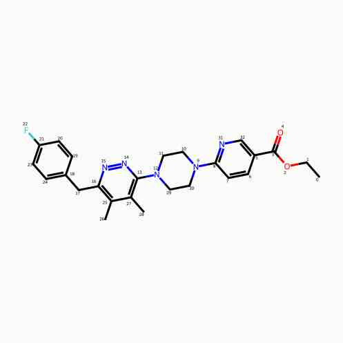 CCOC(=O)c1ccc(N2CCN(c3nnc(Cc4ccc(F)cc4)c(C)c3C)CC2)nc1